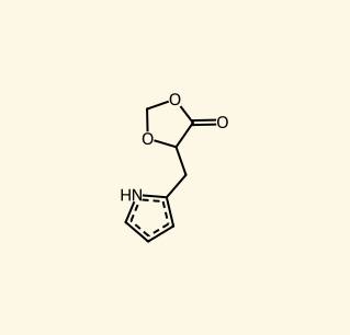 O=C1OCOC1Cc1ccc[nH]1